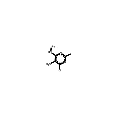 CCCCCNc1nc(C)nc(Cl)c1N